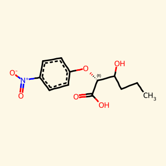 CCCC(O)[C@@H](Oc1ccc([N+](=O)[O-])cc1)C(=O)O